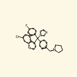 Fc1ccc(C(c2ccc(CN3CCCC3)cc2)(c2ccnc3cc(Cl)ccc23)n2ccnc2)cc1